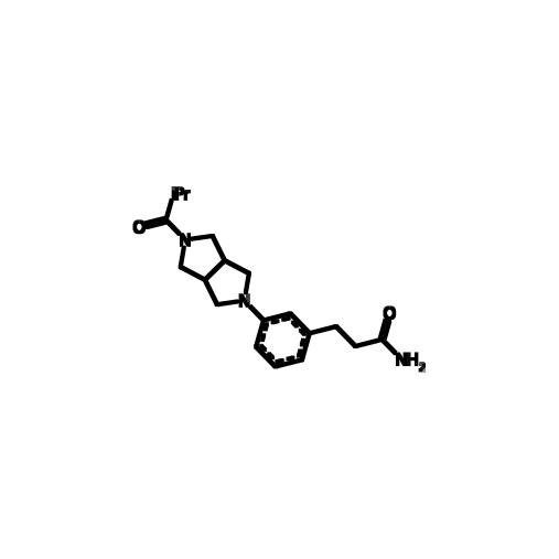 CC(C)C(=O)N1CC2CN(c3cccc(CCC(N)=O)c3)CC2C1